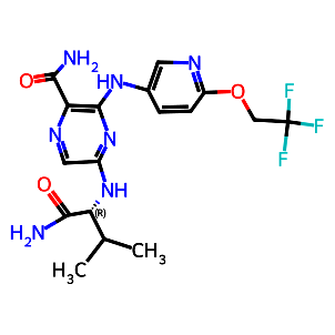 CC(C)[C@@H](Nc1cnc(C(N)=O)c(Nc2ccc(OCC(F)(F)F)nc2)n1)C(N)=O